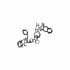 C[C@@H](COC(=O)N1CCC(Nc2cc3ccccc3cc2N)CC1)N(Cc1ccccc1)Cc1ccccc1